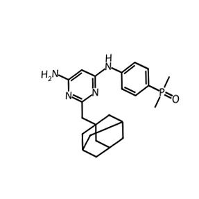 CP(C)(=O)c1ccc(Nc2cc(N)nc(CC34CC5CC(CC(C5)C3)C4)n2)cc1